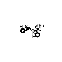 CC(=Cc1ccccc1)CNC[C@H]1NC2CCCCC2C1C(=O)OC(C)(C)C